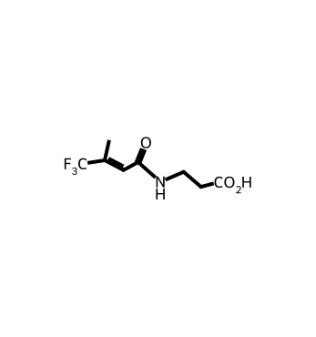 C/C(=C\C(=O)NCCC(=O)O)C(F)(F)F